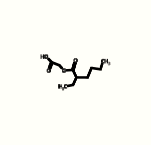 CCCCC(CC)C(=O)OCC(=O)O